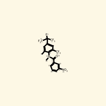 Cc1cc(C(F)(C(F)(F)F)C(F)(F)F)cc(C(F)(F)F)c1N(C)C(=O)c1cccc([N+](=O)[O-])c1